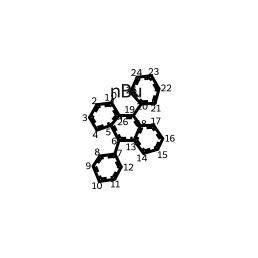 CCCCc1cccc2c(-c3ccccc3)c3ccccc3c(-c3ccccc3)c12